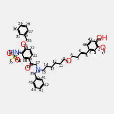 COc1cc(C=CCCOCCCCCCN(CC(=O)c2ccc(OCc3ccccc3)c(NS(C)(=O)=O)c2)Cc2ccccc2)ccc1O